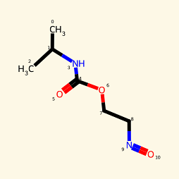 CC(C)NC(=O)OCCN=O